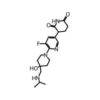 CC(C)NCC1(O)CCN(c2ncc(C3CCC(=O)NC3=O)cc2F)CC1